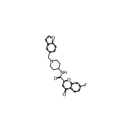 O=C(NC1CCN(Cc2ccc3occc3c2)CC1)c1cc(=O)c2ccc(F)cc2o1